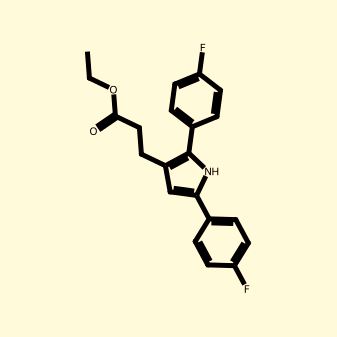 CCOC(=O)CCc1cc(-c2ccc(F)cc2)[nH]c1-c1ccc(F)cc1